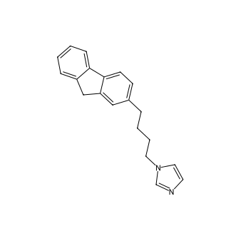 c1ccc2c(c1)Cc1cc(CCCCn3ccnc3)ccc1-2